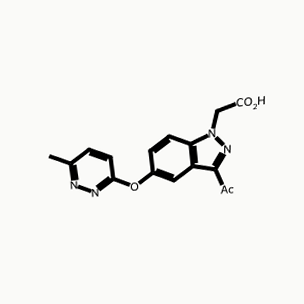 CC(=O)c1nn(CC(=O)O)c2ccc(Oc3ccc(C)nn3)cc12